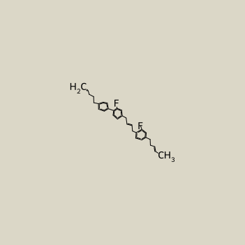 C=CCCCc1ccc(-c2ccc(C/C=C/Cc3ccc(CC/C=C/C)cc3F)cc2F)cc1